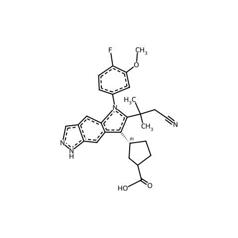 COc1cc(-n2c(C(C)(C)CC#N)c([C@@H]3CCC(C(=O)O)C3)c3cc4[nH]ncc4cc32)ccc1F